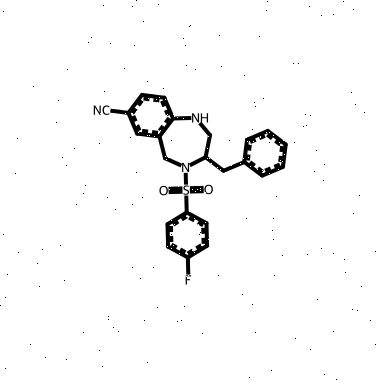 N#Cc1ccc2c(c1)CN(S(=O)(=O)c1ccc(F)cc1)C(Cc1ccccc1)CN2